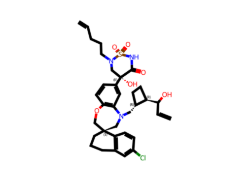 C=CCCCN1C[C@](O)(c2ccc3c(c2)N(C[C@@H]2CC[C@H]2C(O)C=C)C[C@@]2(CCCc4cc(Cl)ccc42)CO3)C(=O)NS1(=O)=O